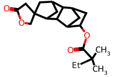 CCC(C)(C)C(=O)OC1CC2CC1C1C2C2CC1C1(COC(=O)C1)C2